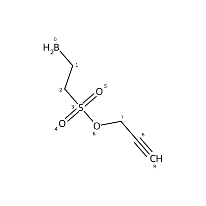 BCCS(=O)(=O)OCC#C